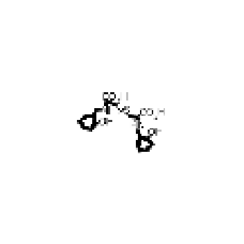 O=C(O)[C@H](CSSC[C@H](NCc1ccccc1O)C(=O)O)NCc1ccccc1O